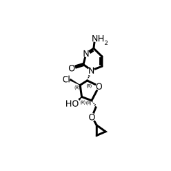 Nc1ccn([C@@H]2O[C@H](COC3CC3)[C@@H](O)[C@H]2Cl)c(=O)n1